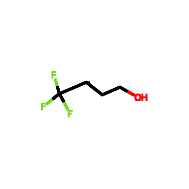 OCC[CH]C(F)(F)F